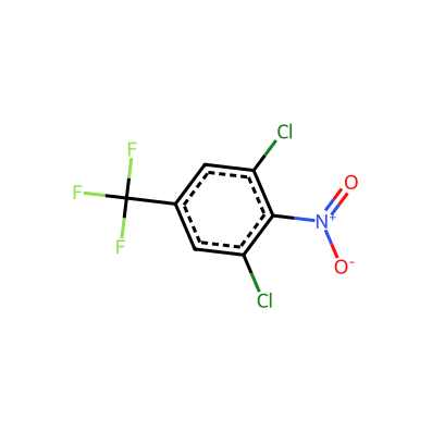 O=[N+]([O-])c1c(Cl)cc(C(F)(F)F)cc1Cl